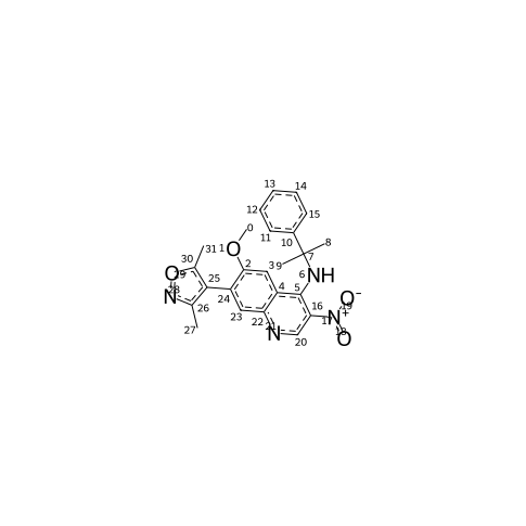 COc1cc2c(NC(C)(C)c3ccccc3)c([N+](=O)[O-])cnc2cc1-c1c(C)noc1C